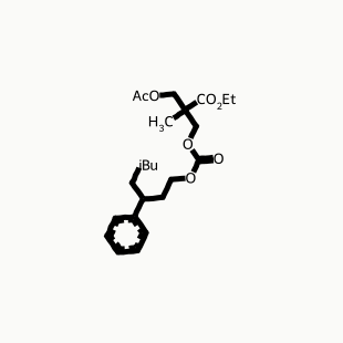 CCOC(=O)C(C)(COC(C)=O)COC(=O)OCCC(CC(C)CC)c1ccccc1